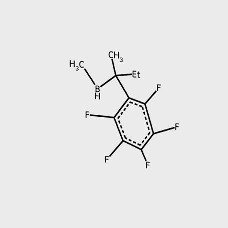 CBC(C)(CC)c1c(F)c(F)c(F)c(F)c1F